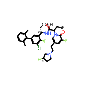 Cc1cccc(C)c1-c1cc(Cl)c(F)c([C@H](CC(=O)O)NC(=O)C(CC(C)C)n2cc(CCN3CC[C@@H](F)C3)cc(F)c2=O)c1